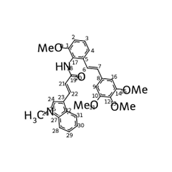 COc1cccc(C=Cc2cc(OC)c(OC)c(OC)c2)c1NC(=O)/C=C/c1cn(C)c2ccccc12